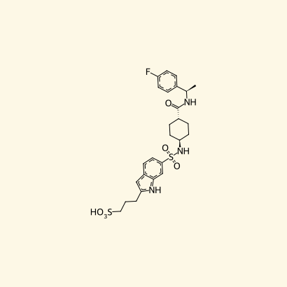 C[C@@H](NC(=O)[C@H]1CC[C@H](NS(=O)(=O)c2ccc3cc(CCCS(=O)(=O)O)[nH]c3c2)CC1)c1ccc(F)cc1